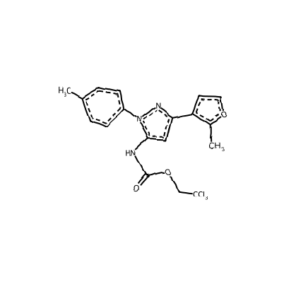 Cc1ccc(-n2nc(-c3ccoc3C)cc2NC(=O)OCC(Cl)(Cl)Cl)cc1